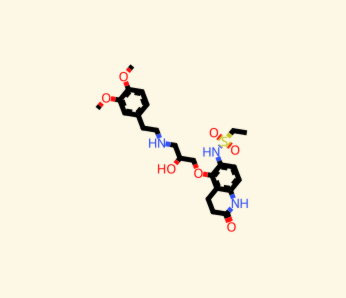 CCS(=O)(=O)Nc1ccc2c(c1OCC(O)CNCCc1ccc(OC)c(OC)c1)CCC(=O)N2